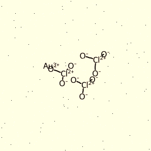 [Au+3].[O-][Cl+2]([O-])[O-].[O-][Cl+2]([O-])[O-].[O-][Cl+2]([O-])[O-]